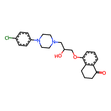 O=C1CCCc2c(OCC(O)CN3CCN(c4ccc(Cl)cc4)CC3)cccc21